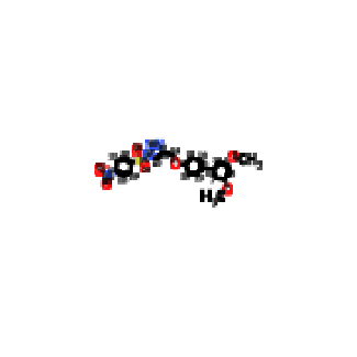 COc1cc(OC)cc(-c2ccc(OCc3cn(S(=O)(=O)c4ccc([N+](=O)[O-])cc4)nn3)cc2)c1